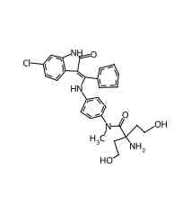 CN(C(=O)C(N)(CCO)CCO)c1ccc(NC(=C2C(=O)Nc3cc(Cl)ccc32)c2ccccc2)cc1